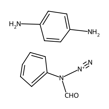 N#[N+]N(C=O)c1ccccc1.Nc1ccc(N)cc1